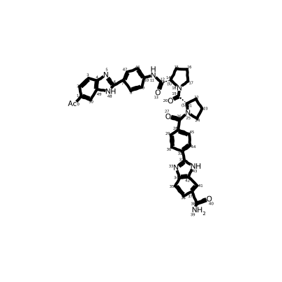 CC(=O)c1ccc2nc(-c3ccc(NC(=O)[C@@H]4CCCN4C(=O)[C@@H]4CCCN4C(=O)c4ccc(-c5nc6ccc(C(N)=O)cc6[nH]5)cc4)cc3)[nH]c2c1